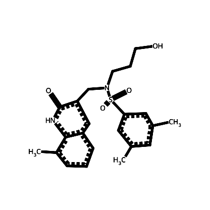 Cc1cc(C)cc(S(=O)(=O)N(CCCO)Cc2cc3cccc(C)c3[nH]c2=O)c1